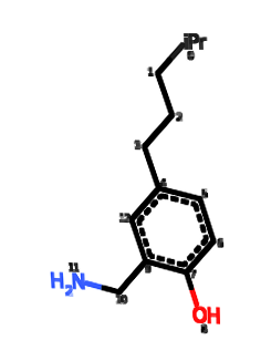 CC(C)CCCc1ccc(O)c(CN)c1